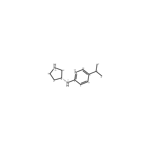 CC(C)c1ccc(N[C@@H]2CCNC2)nc1